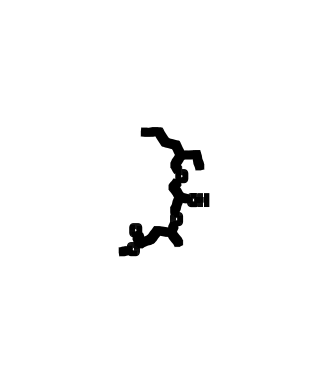 CCCCC(CC)COCC(O)COC(C)CCC(=O)OC